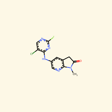 CN1C(=O)Cc2cc(Nc3nc(F)ncc3Cl)cnc21